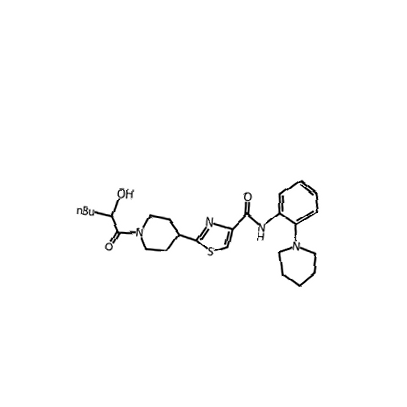 CCCCC(O)C(=O)N1CCC(c2nc(C(=O)Nc3ccccc3N3CCCCC3)cs2)CC1